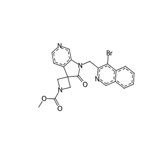 COC(=O)N1CC2(C1)C(=O)N(Cc1ncc3ccccc3c1Br)c1cnccc12